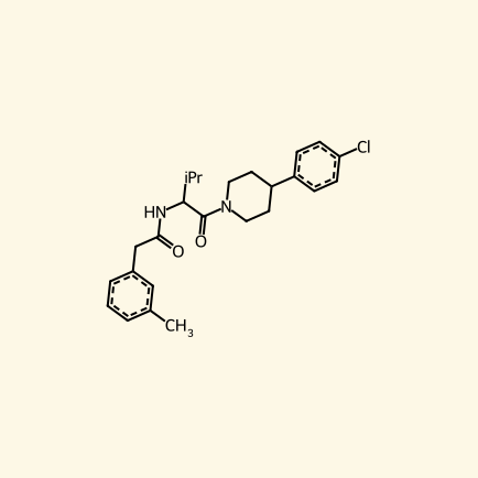 Cc1cccc(CC(=O)NC(C(=O)N2CCC(c3ccc(Cl)cc3)CC2)C(C)C)c1